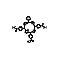 O=C(O)c1ccc(-c2c3nc(c(-c4ccc(C(=O)O)cc4)c4ccc([nH]4)c(-c4ccc(C(=O)O)cc4)c4nc(c(-c5ccccc5)c5ccc2[nH]5)C=C4)C=C3)cc1